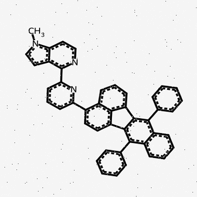 Cn1ccc2c(-c3cccc(-c4ccc5c6c(cccc46)-c4c-5c(-c5ccccc5)c5ccccc5c4-c4ccccc4)n3)nccc21